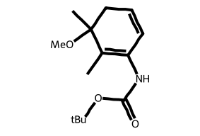 COC1(C)CC=CC(NC(=O)OC(C)(C)C)=C1C